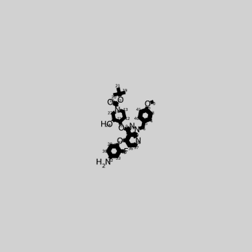 COc1ccc(Cn2nc(OC3CCN(C(=O)OC(C)(C)C)CC3O)c3c(Oc4ccc(N)cc4F)ccnc32)cc1